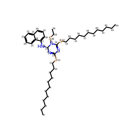 CCCCCCCCCCCCSC1=N[C@@H](Nc2cccc3ccccc23)N(SCC)C(SCCCCCCCCCCCC)=N1